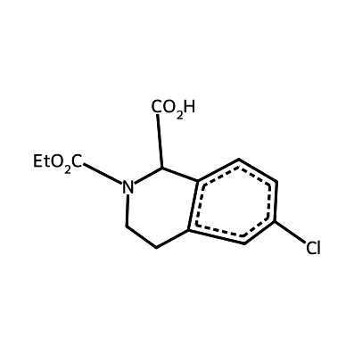 CCOC(=O)N1CCc2cc(Cl)ccc2C1C(=O)O